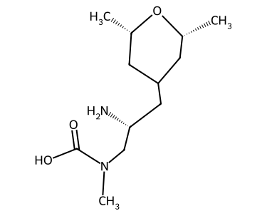 C[C@@H]1CC(C[C@@H](N)CN(C)C(=O)O)C[C@H](C)O1